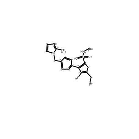 CC(C)Cc1sc(S(=O)(=O)NC(C)(C)C)c(-c2ccc(Cn3ccnc3C(F)(F)F)cc2)c1F